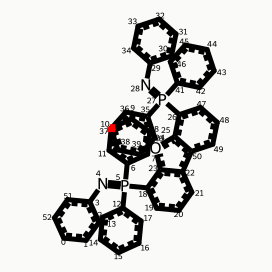 c1ccc(N=P(c2ccccc2)(c2ccccc2)c2cccc3c2oc2c(P(=Nc4ccccc4)(c4ccccc4)c4ccccc4)cccc23)cc1